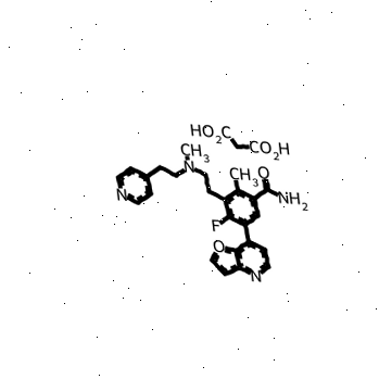 Cc1c(C(N)=O)cc(-c2ccnc3ccoc23)c(F)c1CCN(C)CCc1ccncc1.O=C(O)CC(=O)O